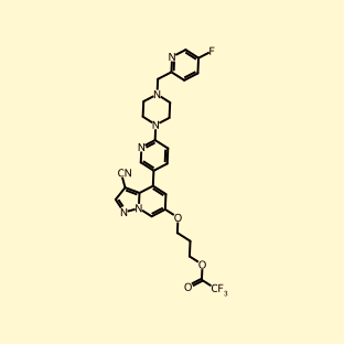 N#Cc1cnn2cc(OCCCOC(=O)C(F)(F)F)cc(-c3ccc(N4CCN(Cc5ccc(F)cn5)CC4)nc3)c12